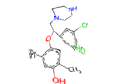 Cc1cc(OC(CN2CCNCC2)c2cccc(Cl)c2)c(C(C)C)cc1O.Cl